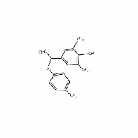 Cc1ccc(SC(C=O)c2cc(C)c(O)c(C)c2)cc1